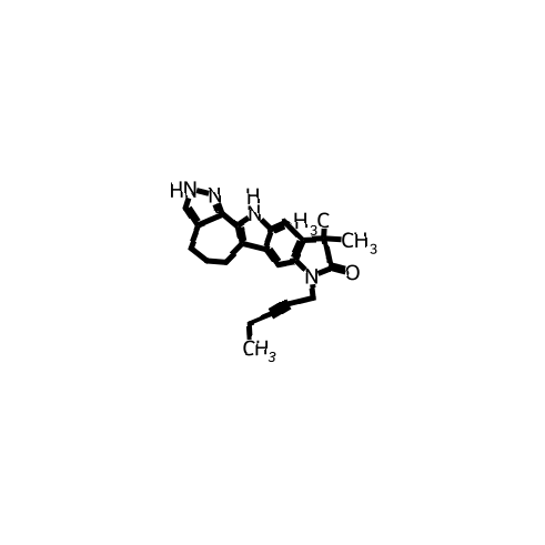 CCC#CCN1C(=O)C(C)(C)c2cc3[nH]c4c(c3cc21)CCCc1c[nH]nc1-4